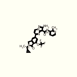 Cc1ncccc1NC(=O)c1c(N)nn2ccc(-c3cc4c(c(OC(F)(F)F)c3)C(=O)N([C@@H](C)C3CC3)C4)nc12